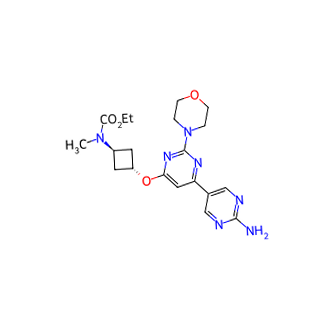 CCOC(=O)N(C)[C@H]1C[C@H](Oc2cc(-c3cnc(N)nc3)nc(N3CCOCC3)n2)C1